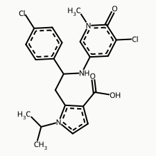 CC(C)n1ccc(C(=O)O)c1CC(Nc1cc(Cl)c(=O)n(C)c1)c1ccc(Cl)cc1